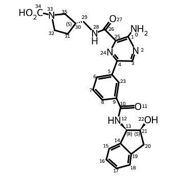 Nc1ncc(-c2cccc(C(=O)N[C@@H]3c4ccccc4C[C@@H]3O)c2)nc1C(=O)NC[C@@H]1CCN(C(=O)O)C1